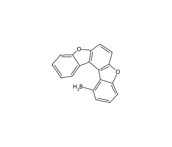 Bc1cccc2oc3ccc4oc5ccccc5c4c3c12